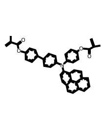 C=C(C)C(=O)Oc1ccc(-c2ccc(N(c3ccc(OC(=O)C(=C)C)cc3)c3ccc4ccc5cccc6ccc3c4c56)cc2)cc1